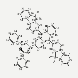 CC1(C)c2ccccc2-c2ccc(-c3c4ccccc4c(-c4ccc5c(c4)C(C)(C)c4ccccc4-5)c4cc(-c5cc(-c6ccccc6)nc(-c6ccccc6)n5)ccc34)cc21